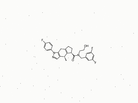 C[C@@H]1C2=C(CC[C@H]2C(=O)N(CCO)Cc2cc(F)cc(F)c2)Cc2c1cnn2-c1ccc(F)cc1